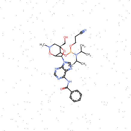 CC(C)N(C(C)C)P(OCCC#N)OC1C2ON(C)C[C@]1(CO)O[C@H]2n1cnc2c(NC(=O)c3ccccc3)ncnc21